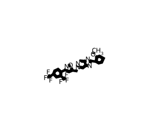 COc1ccccc1-c1nc2cnn(Cc3cc(-c4ccc(C(F)(F)F)cc4C(F)(F)F)no3)cc-2n1